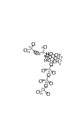 CO.CO.CO.ClC(Cl)Cl.ClC(Cl)Cl.ClC(Cl)Cl.ClC(Cl)Cl.ClC(Cl)Cl